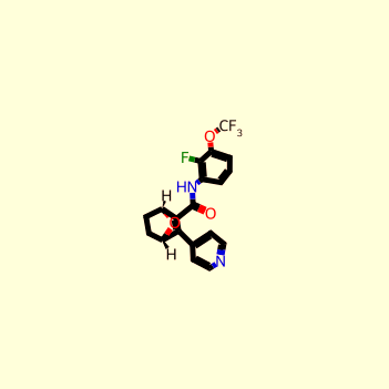 O=C(Nc1cccc(OC(F)(F)F)c1F)C1=C(c2ccncc2)[C@@H]2CC[C@@H]1O2